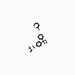 C=C1OB(c2ccc(C3(c4ccc(OCc5ccccn5)cc4)CCC3)cc2)OC1(C)C